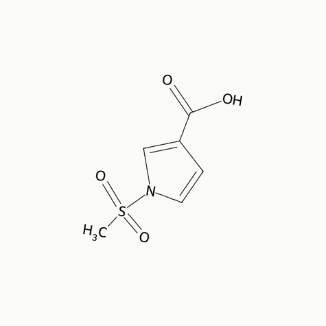 CS(=O)(=O)n1ccc(C(=O)O)c1